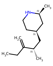 C=C(CC)[C@@H](C)C[C@H]1CCN[C@@H](C)C1